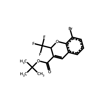 CC(C)(C)OC(=O)C1=Cc2cccc(Br)c2OC1C(F)(F)F